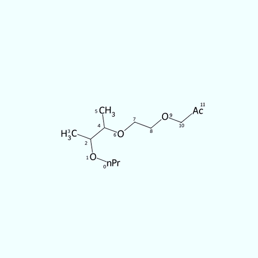 CCCOC(C)C(C)OCCOCC(C)=O